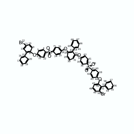 O=S(=O)(c1ccc(Oc2ccc(Br)cc2-c2ccccc2)cc1)c1ccc(Oc2cccc(Oc3ccc(S(=O)(=O)c4ccc(Oc5cccc(Br)c5-c5ccccc5)cc4)cc3)c2-c2ccccc2)cc1